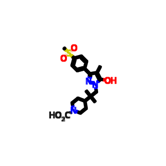 Cc1c(-c2ccc(S(C)(=O)=O)cc2)nn(CC(C)(C)C2CCN(C(=O)O)CC2)c1O